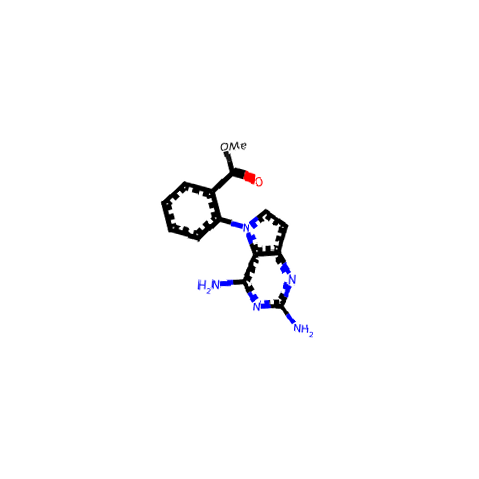 COC(=O)c1ccccc1-n1ccc2nc(N)nc(N)c21